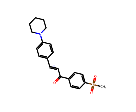 CS(=O)(=O)c1ccc(C(=O)/C=C/c2ccc(N3CCCCC3)cc2)cc1